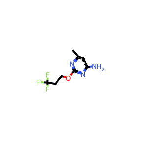 Cc1cc(N)nc(OCCC(F)(F)F)n1